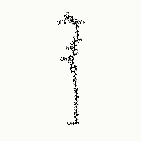 C=C(CC(CCC1CCC(CCCOCCCCCOCCCCCOCCCCCOCCCCCC=O)CC1)OC=O)C(C)/C=C(\C)C(O)CC(=O)C(C)CC(C)/C=C/C=C/C=C(\C)C(CC1CC[C@@H](C)C(C(=O)C=O)O1)OC